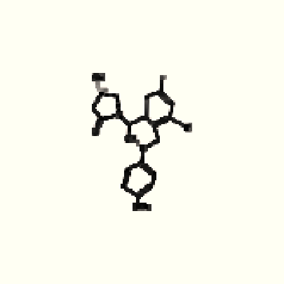 COc1ccc(OCc2c(Cl)cc(F)cc2C(C)N2C[C@@H](O)CC2=O)cc1